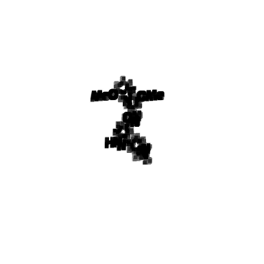 COc1cccc(F)c1CN1CC(c2nnc(-c3ccc4[nH]nc(-c5ccc6nn(C)cc6c5)c4c3)o2)C[C@@H](OC)C1